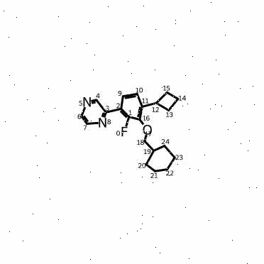 Fc1c(-c2cnccn2)ccc(C2CCC2)c1OCC1CCCCC1